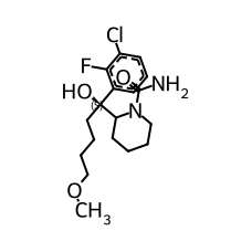 COCCCC[C@](O)(c1cccc(Cl)c1F)C1CCCCN1C(N)=O